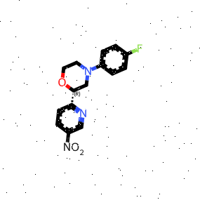 O=[N+]([O-])c1ccc([C@H]2CN(c3ccc(F)cc3)CCO2)nc1